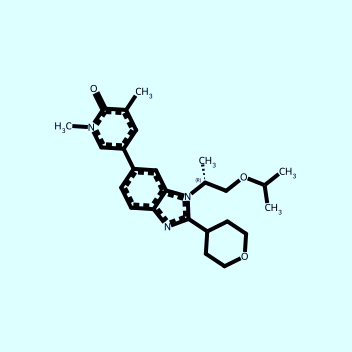 Cc1cc(-c2ccc3nc(C4CCOCC4)n([C@H](C)COC(C)C)c3c2)cn(C)c1=O